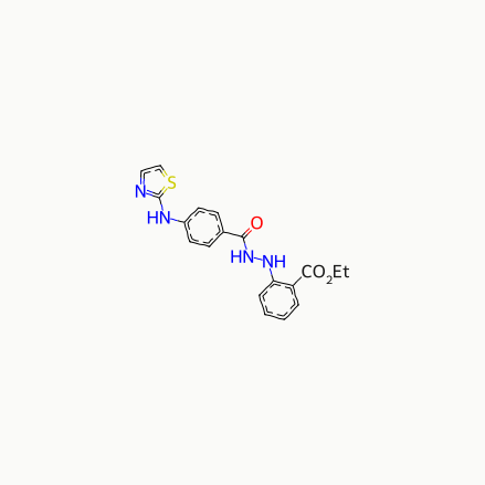 CCOC(=O)c1ccccc1NNC(=O)c1ccc(Nc2nccs2)cc1